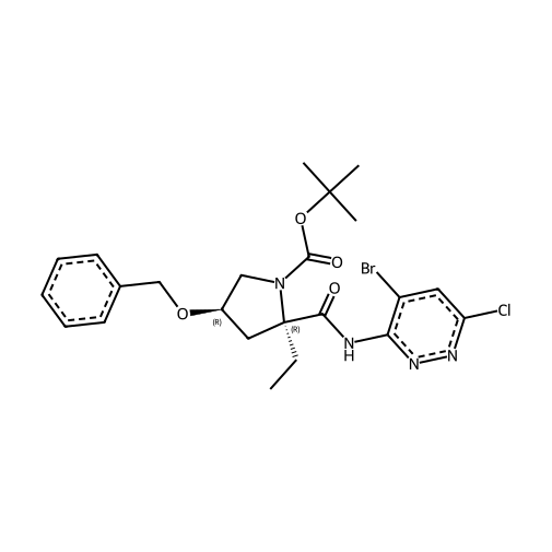 CC[C@]1(C(=O)Nc2nnc(Cl)cc2Br)C[C@@H](OCc2ccccc2)CN1C(=O)OC(C)(C)C